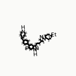 CCN1CCC(n2cc(C=Cc3n[nH]c4cc(F)c(-c5ccc(CN6CCNCC6)cc5)cc34)cn2)CC1